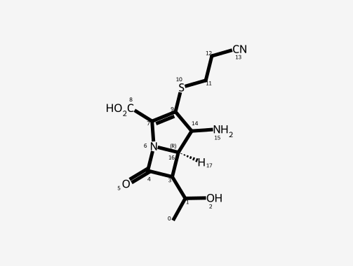 CC(O)C1C(=O)N2C(C(=O)O)=C(SCCC#N)C(N)[C@@H]12